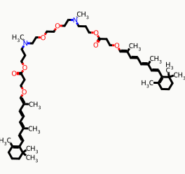 CC1=C(/C=C/C(C)=C/C=C/C(C)=C/OCCC(=O)OCCCN(C)CCOCCOCCN(C)CCCOC(=O)CCO/C=C(C)/C=C/C=C(C)/C=C/C2=C(C)CCCC2(C)C)C(C)(C)CCC1